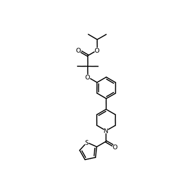 CC(C)OC(=O)C(C)(C)Oc1cccc(C2=CCN(C(=O)c3cccs3)CC2)c1